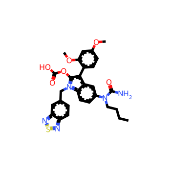 CCCCN(C(N)=O)c1ccc2c(c1)c(-c1ccc(OC)cc1OC)c(OC(=O)O)n2Cc1ccc2nsnc2c1